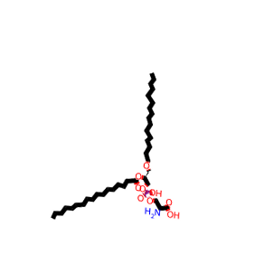 CCCCCCCCCCCCCCCCOC[C@H](COP(=O)(O)OC[C@H](N)C(=O)O)OC(=O)CCCCCCCCCCCCCCCC